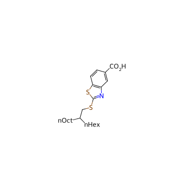 CCCCCCCCC(CCCCCC)CSc1nc2cc(C(=O)O)ccc2s1